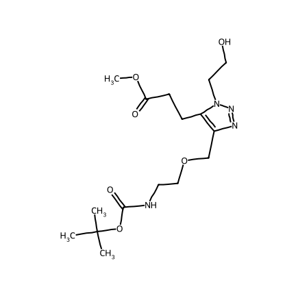 COC(=O)CCc1c(COCCNC(=O)OC(C)(C)C)nnn1CCO